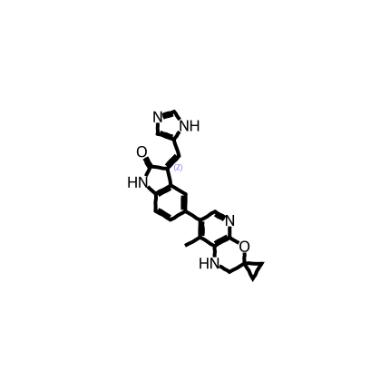 Cc1c(-c2ccc3c(c2)/C(=C/c2cnc[nH]2)C(=O)N3)cnc2c1NCC1(CC1)O2